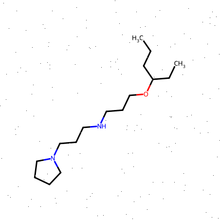 CCCC(CC)OCCCNCCCN1CCCC1